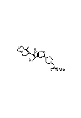 CNC(=O)CN1CCC(c2ccc3[nH]c(-c4ccc5nncn5c4C)c(C(C)C)c3c2)CC1